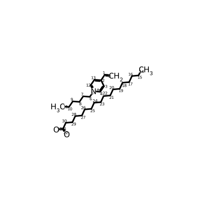 C=Cc1cc[n+](CCCCCC)cc1.CCCCCCCCCCCCCCCCCC(=O)[O-]